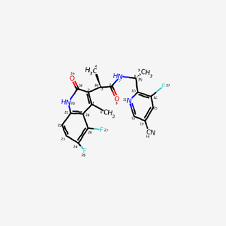 Cc1c([C@@H](C)C(=O)N[C@H](C)c2ncc(C#N)cc2F)c(=O)[nH]c2ccc(F)c(F)c12